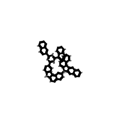 c1ccc2cc(-c3nc(-c4ccc5oc6ccc7ccc(-n8c9cc%10ccccc%10cc9c9c%10ccccc%10ccc98)cc7c6c5c4)nc(-c4cccc5ccccc45)n3)ccc2c1